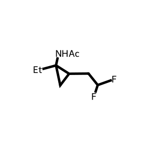 CCC1(NC(C)=O)CC1CC(F)F